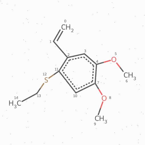 C=Cc1cc(OC)c(OC)cc1SCC